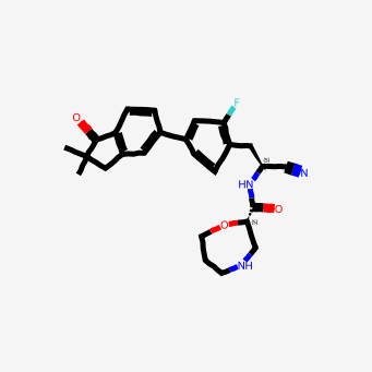 CC1(C)Cc2cc(-c3ccc(C[C@@H](C#N)NC(=O)[C@@H]4CNCCCO4)c(F)c3)ccc2C1=O